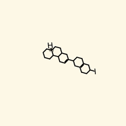 IC1CCC2=C(CCC(C3=CCC4C(CC[C@H]5CCCCC45)C3)C2)C1